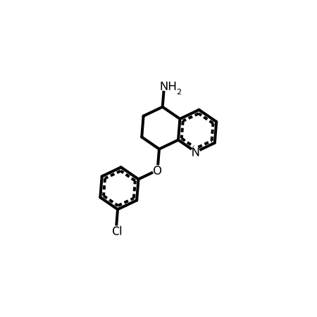 NC1CCC(Oc2cccc(Cl)c2)c2ncccc21